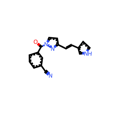 N#Cc1cccc(C(=O)n2ccc(/C=C/c3cc[nH]c3)n2)c1